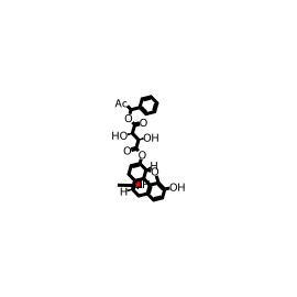 CC(=O)C(OC(=O)[C@H](O)[C@@H](O)C(=O)OC1=CC[C@@]2(O)[C@H]3Cc4ccc(O)c5c4[C@@]2(CCN3C)[C@H]1O5)c1ccccc1